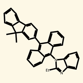 CCc1nc2ccccc2n1-c1c2ccccc2c(-c2ccc3c(c2)C(C)(C)c2ccccc2-3)c2ccccc12